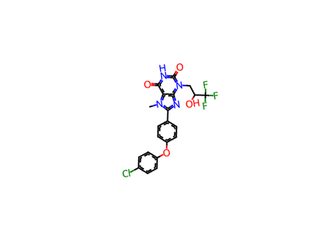 Cn1c(-c2ccc(Oc3ccc(Cl)cc3)cc2)nc2c1c(=O)[nH]c(=O)n2CC(O)C(F)(F)F